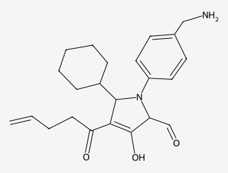 C=CCCC(=O)C1=C(O)C(C=O)N(c2ccc(CN)cc2)C1C1CCCCC1